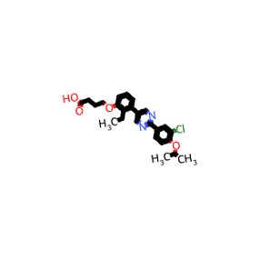 CCc1c(OCCCC(=O)O)cccc1-c1cnc(-c2ccc(OC(C)C)c(Cl)c2)nc1